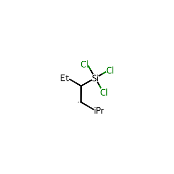 CCC([CH]C(C)C)[Si](Cl)(Cl)Cl